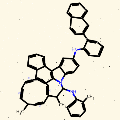 Cc1ccccc1NC(C(C)C1=C/C/C=C\C=C/C(C)/C=C\1)n1c2ccc(Nc3ccccc3-c3ccc4ccccc4c3)cc2c2c3ccccc3ccc21